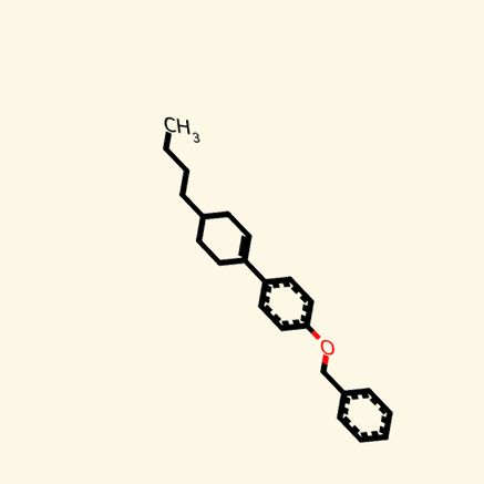 CCCCC1CC=C(c2ccc(OCc3ccccc3)cc2)CC1